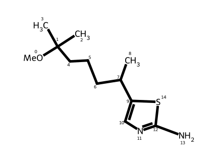 COC(C)(C)CCCC(C)c1cnc(N)s1